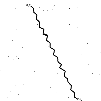 [CH2]CCCCCCCC=CCCCCCCCCCCCCCCCCC[CH2]